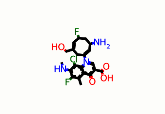 CNc1c(F)c(C)c2c(=O)c(C(=O)O)cn(/C3=C/C(N)CC(F)/C=C(/CO)C3)c2c1Cl